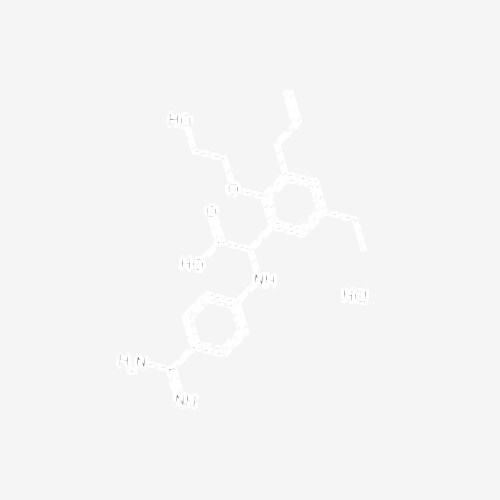 C=CCc1cc(CC)cc(C(Nc2ccc(C(=N)N)cc2)C(=O)O)c1OCCO.Cl